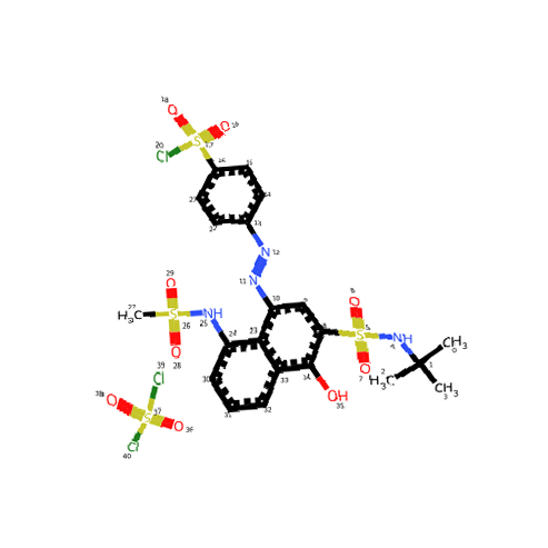 CC(C)(C)NS(=O)(=O)c1cc(N=Nc2ccc(S(=O)(=O)Cl)cc2)c2c(NS(C)(=O)=O)cccc2c1O.O=S(=O)(Cl)Cl